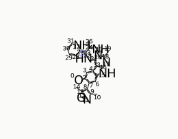 COc1cc2c(cc1-c1c(C)noc1C)[nH]c1nc(C)nc(N/C(C(C)=N)=C3\C=CC=CN3)c12